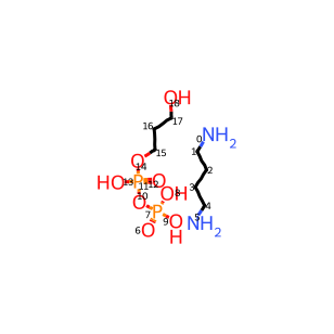 NCCCCN.O=P(O)(O)OP(=O)(O)OCCCO